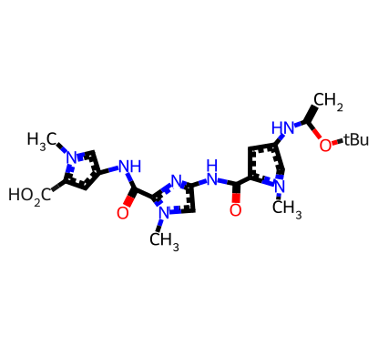 C=C(Nc1cc(C(=O)Nc2cn(C)c(C(=O)Nc3cc(C(=O)O)n(C)c3)n2)n(C)c1)OC(C)(C)C